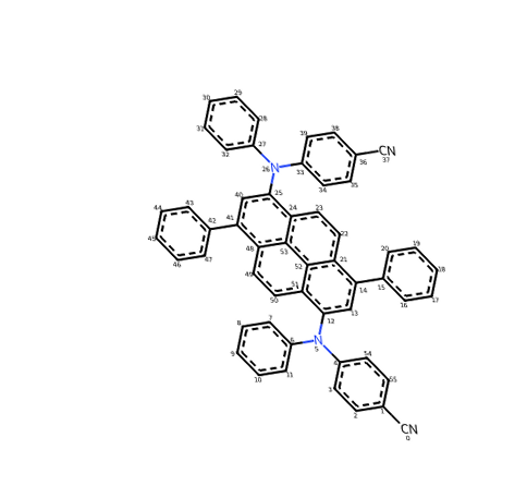 N#Cc1ccc(N(c2ccccc2)c2cc(-c3ccccc3)c3ccc4c(N(c5ccccc5)c5ccc(C#N)cc5)cc(-c5ccccc5)c5ccc2c3c54)cc1